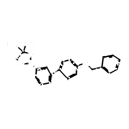 CC1(C)COB(c2cccc(-c3ccc(OCc4ccccc4)cc3)c2)O1